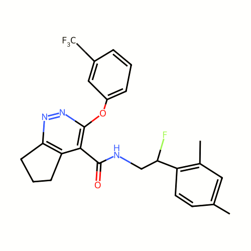 Cc1ccc(C(F)CNC(=O)c2c(Oc3cccc(C(F)(F)F)c3)nnc3c2CCC3)c(C)c1